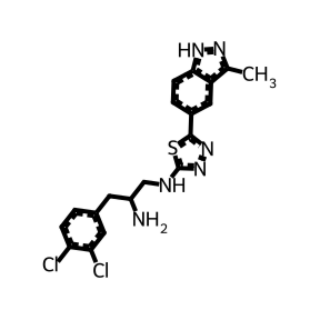 Cc1n[nH]c2ccc(-c3nnc(NCC(N)Cc4ccc(Cl)c(Cl)c4)s3)cc12